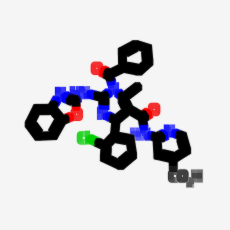 CC1=C(C(=O)Nc2cc(C(=O)O)ccn2)C(c2ccccc2Cl)N=C(Nc2nc3ccccc3o2)N1C(=O)c1ccccc1